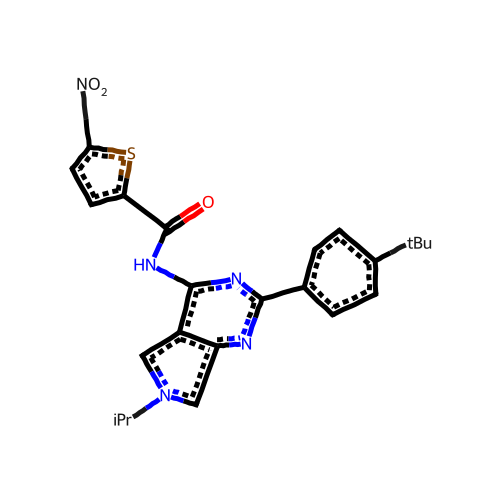 CC(C)n1cc2nc(-c3ccc(C(C)(C)C)cc3)nc(NC(=O)c3ccc([N+](=O)[O-])s3)c2c1